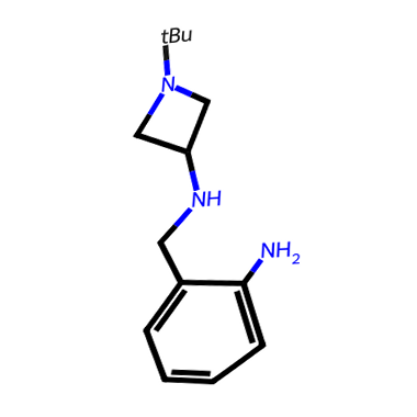 CC(C)(C)N1CC(NCc2ccccc2N)C1